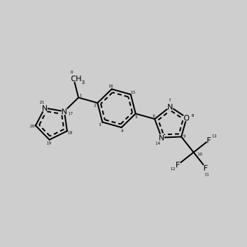 CC(c1ccc(-c2noc(C(F)(F)F)n2)cc1)n1cccn1